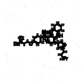 CCN(CC)CCOc1ccc(Nc2ncc(-c3cnn(CCC(C)C)c3)c(Nc3ccccc3OC)n2)cc1